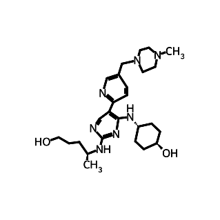 C[C@@H](CCCO)Nc1ncc(-c2ccc(CN3CCN(C)CC3)cn2)c(N[C@H]2CC[C@H](O)CC2)n1